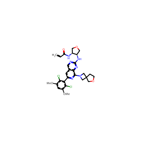 C=CC(=O)N[C@H]1COC[C@H]1Nc1ncc2cc(-c3c(Cl)c(OC)cc(OC)c3Cl)nc(N3CC4(CCOC4)C3)c2n1